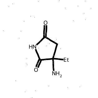 CCC1(N)CC(=O)NC1=O